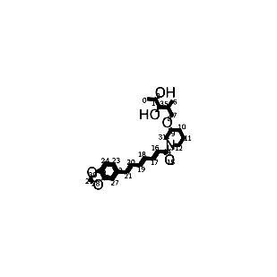 CC(O)C(O)C(C)COC1CCCN(C(=O)/C=C/C=C/C=C/c2ccc3c(c2)OCO3)C1